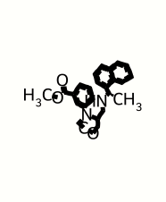 COC(=O)c1cccc(N2CCOCC2CN[C@H](C)c2cccc3ccccc23)c1